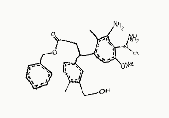 CCN(N)c1c(OC)cc(C(CC(=O)OCc2ccccc2)c2ccc(C)c(CO)c2)c(C)c1N